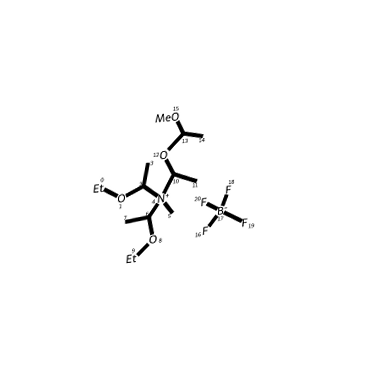 CCOC(C)[N+](C)(C(C)OCC)C(C)OC(C)OC.F[B-](F)(F)F